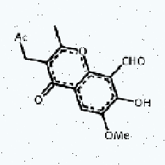 COc1cc2c(=O)c(CC(C)=O)c(C)oc2c(C=O)c1O